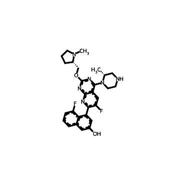 C[C@@H]1CNCCN1c1nc(OC[C@@H]2CCCN2C)nc2nc(-c3cc(O)cc4cccc(F)c34)c(F)cc12